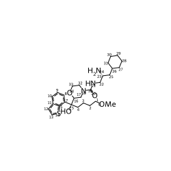 COCCCC[C@](O)(c1cccc2ccsc12)C1CN(C(=O)NC[C@H](N)CC2CCCCC2)CCO1